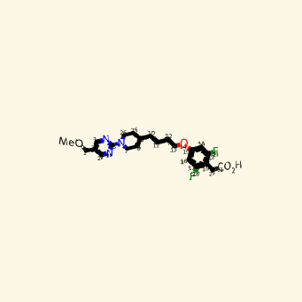 COCc1cnc(N2CCC(CCCCOc3cc(F)c(CC(=O)O)c(F)c3)CC2)nc1